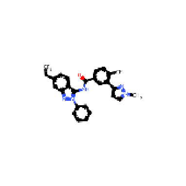 Cn1ccc(-c2cc(C(=O)Nc3c4ccc(CC(F)(F)F)cc4nn3-c3ccccc3)ccc2C(F)(F)F)n1